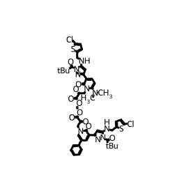 CN(C)c1ccc(-c2cc(NCc3ccc(Cl)s3)n(C(=O)C(C)(C)C)n2)c(=O)n1CC(=O)C(=O)OCOC(=O)C(=O)Cn1cc(-c2ccccc2)cc(-c2cc(NCc3ccc(Cl)s3)n(C(=O)C(C)(C)C)n2)c1=O